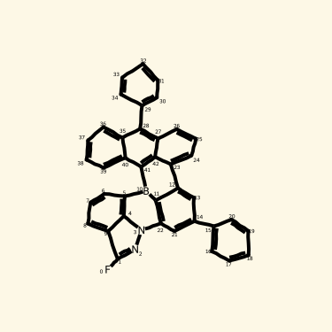 Fc1nn2c3c(cccc13)B1c3c(cc(-c4ccccc4)cc3-2)-c2cccc3c(-c4ccccc4)c4ccccc4c1c23